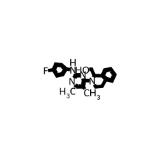 Cc1nc(Nc2ccc(F)cc2)nc(N2CCc3ccccc3C2CO)c1C